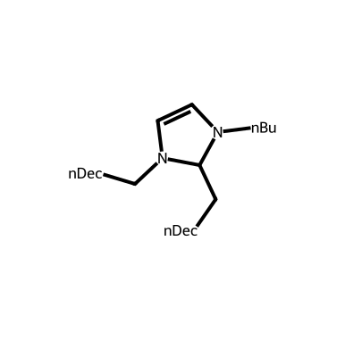 CCCCCCCCCCCC1N(CCCC)C=CN1CCCCCCCCCCC